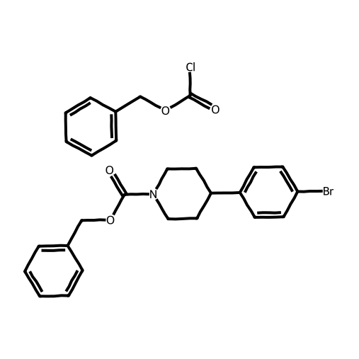 O=C(Cl)OCc1ccccc1.O=C(OCc1ccccc1)N1CCC(c2ccc(Br)cc2)CC1